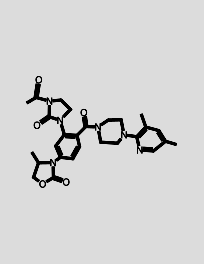 CC(=O)N1CCN(c2cc(N3C(=O)OCC3C)ccc2C(=O)N2CCN(c3ncc(C)cc3C)CC2)C1=O